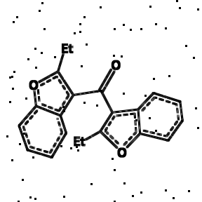 CCc1oc2ccccc2c1C(=O)c1c(CC)oc2ccccc12